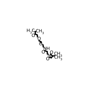 CC(C)C(=O)CCOCCOCCNC(=O)CCN1C(=O)CC(C(C)C)C1=O